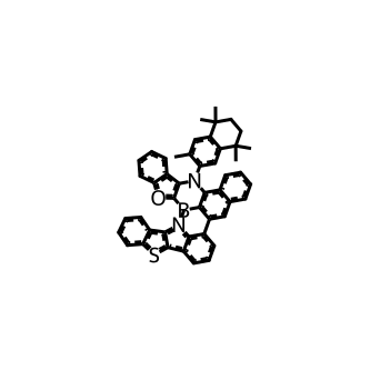 Cc1cc2c(cc1N1c3c4c(cc5ccccc35)-c3cccc5c6sc7ccccc7c6n(c35)B4c3oc4ccccc4c31)C(C)(C)CCC2(C)C